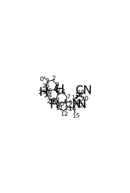 C[C@H]1CC[C@@H]2C3CC[C@@]4(C)C(CCC4[C@H](C)n4cc(C#N)cn4)[C@@H]3CC[C@@H]2C1